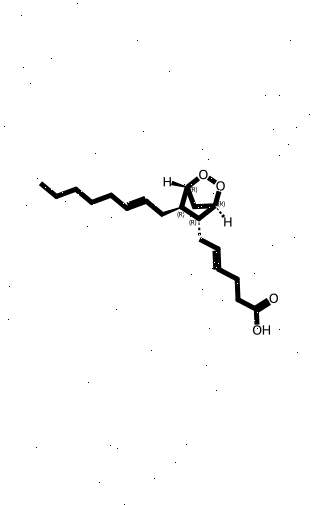 CCCCCC=CC[C@@H]1[C@@H](CC=CCCC(=O)O)[C@H]2C[C@H]1OO2